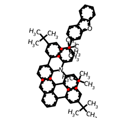 CC(C)(C)c1cc(-c2ccccc2N(c2ccc(-c3ccc4c(c3)oc3ccccc34)cc2)c2ccccc2-c2cccc3cccc(-c4cc(C(C)(C)C)cc(C(C)(C)C)c4)c23)cc(C(C)(C)C)c1